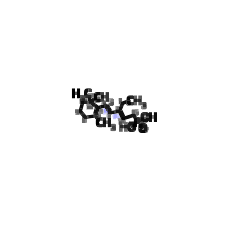 CCC(/C=C/C1=C(C)CCCC1(C)C)=C\CP(=O)(O)O